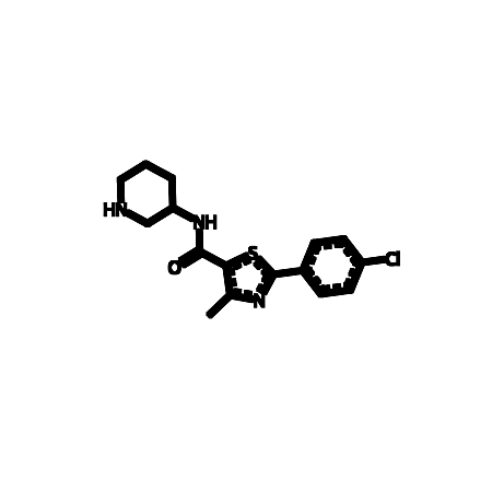 Cc1nc(-c2ccc(Cl)cc2)sc1C(=O)NC1CCCNC1